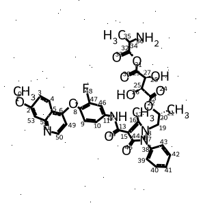 COc1ccc2c(Oc3ccc(NC(=O)c4c(C)n(C[C@@H](C)OC(=O)[C@@H](O)[C@H](O)C(=O)OC(=O)C(C)N)n(-c5ccccc5)c4=O)cc3F)ccnc2c1